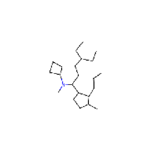 CCCC1C(C)CCC1C(CCC(CC)CC)N(C)C1CCC1